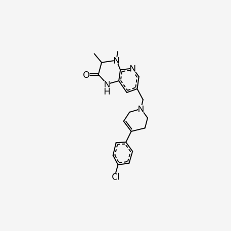 CC1C(=O)Nc2cc(CN3CC=C(c4ccc(Cl)cc4)CC3)cnc2N1C